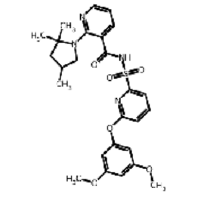 COc1cc(OC)cc(Oc2cccc(S(=O)(=O)NC(=O)c3cccnc3N3CC(C)CC3(C)C)n2)c1